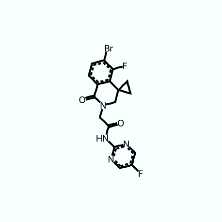 O=C(CN1CC2(CC2)c2c(ccc(Br)c2F)C1=O)Nc1ncc(F)cn1